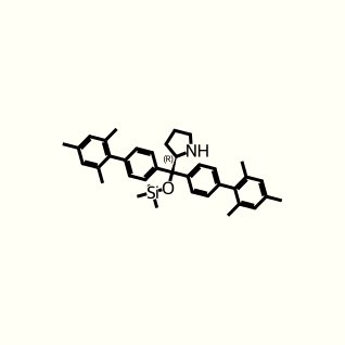 Cc1cc(C)c(-c2ccc(C(O[Si](C)(C)C)(c3ccc(-c4c(C)cc(C)cc4C)cc3)[C@H]3CCCN3)cc2)c(C)c1